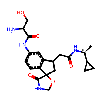 C[C@H](NC(=O)CC1CC2(OCNC2=O)c2ccc(NC(=O)C(N)CO)cc21)C1CC1